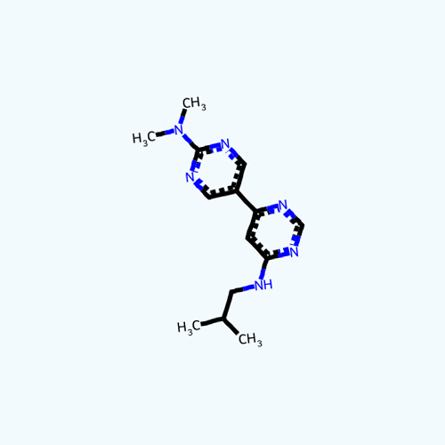 CC(C)CNc1cc(-c2cnc(N(C)C)nc2)ncn1